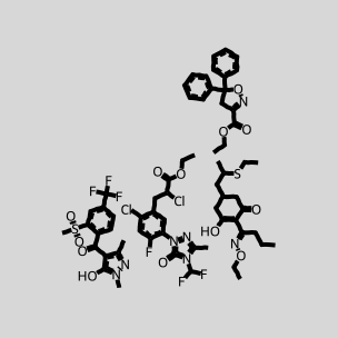 CCC/C(=N\OCC)C1=C(O)CC(CC(C)SCC)CC1=O.CCOC(=O)C(Cl)Cc1cc(-n2nc(C)n(C(F)F)c2=O)c(F)cc1Cl.CCOC(=O)C1=NOC(c2ccccc2)(c2ccccc2)C1.Cc1nn(C)c(O)c1C(=O)c1ccc(C(F)(F)F)cc1S(C)(=O)=O